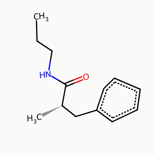 CCCNC(=O)[C@@H](C)Cc1ccccc1